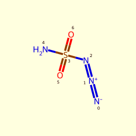 [N-]=[N+]=NS(N)(=O)=O